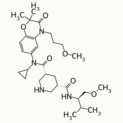 COCCCN1C(=O)C(C)(C)Oc2ccc(N(C(=O)[C@H]3CNC[C@@H](C(=O)N[C@@H](COC)C(C)C)C3)C3CC3)cc21